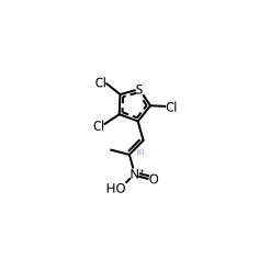 C/C(=C\c1c(Cl)sc(Cl)c1Cl)[N+](=O)O